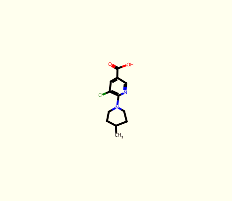 CC1CCN(c2ncc(C(=O)O)cc2Cl)CC1